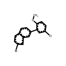 COc1ccc(Cl)cc1-c1ccc2ccc(Br)cc2c1